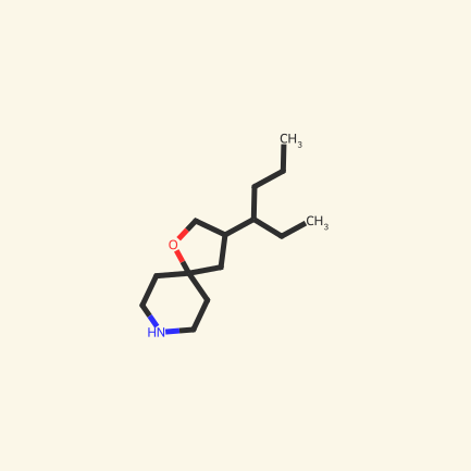 CCCC(CC)C1COC2(CCNCC2)C1